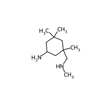 CNCC1(C)CC(N)CC(C)(C)C1